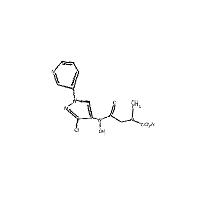 CN(CC(=O)N(C)c1cn(-c2cccnc2)nc1Cl)C(=O)O